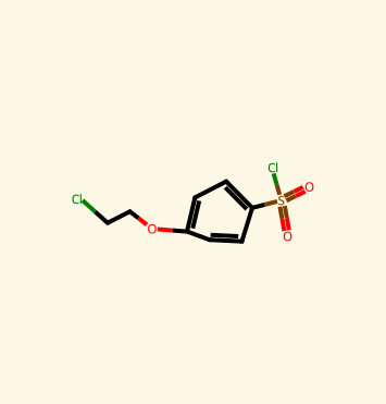 O=S(=O)(Cl)c1ccc(OCCCl)cc1